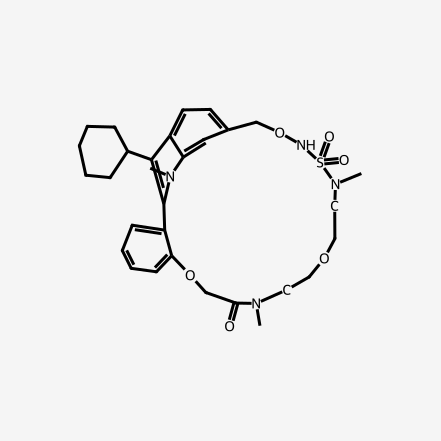 CN1CCOCCN(C)S(=O)(=O)NOCc2ccc3c(C4CCCCC4)c(n(C)c3c2)-c2ccccc2OCC1=O